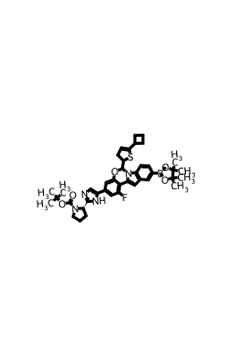 CC(C)(C)OC(=O)N1CCC[C@H]1c1ncc(-c2cc(F)c3c(c2)OC(C2CC=C(C4CCC4)S2)n2c-3cc3cc(B4OC(C)(C)C(C)(C)O4)ccc32)[nH]1